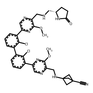 COc1nc(-c2cccc(-c3cccc(-c4cnc(CNC56CC(C#N)(C5)C6)c(OC)n4)c3Cl)c2Cl)cnc1CNC[C@@H]1CCC(=O)N1